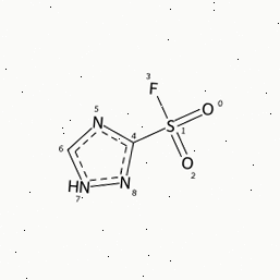 O=S(=O)(F)c1nc[nH]n1